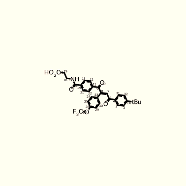 CC(C)(C)c1ccc(C(=O)C=C(C(=O)c2ccc(C(=O)NCCC(=O)O)cc2)c2ccc(OC(F)(F)F)cc2)cc1